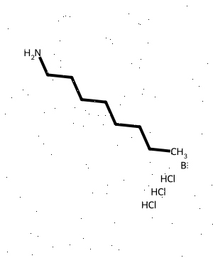 CCCCCCCCN.Cl.Cl.Cl.[B]